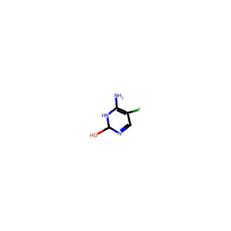 NC1=C(F)C=NC(O)N1